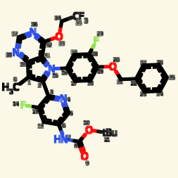 Cc1c(-c2ncc(NC(=O)OC(C)(C)C)cc2F)n(-c2ccc(OCc3ccccc3)c(F)c2)c2c(OCC(F)(F)F)ncnc12